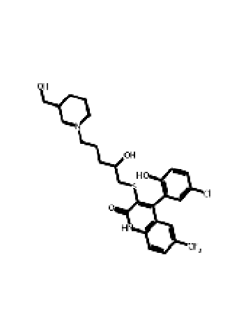 O=c1[nH]c2ccc(C(F)(F)F)cc2c(-c2cc(Cl)ccc2O)c1SCC(O)CCCN1CCCC(CO)C1